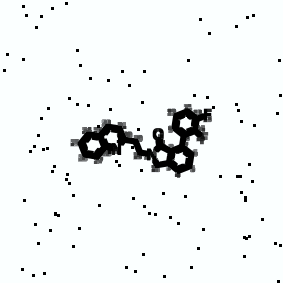 O=C1c2c(cccc2-c2cccc(F)c2F)CN1CCc1ccc2ccccc2n1